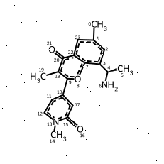 Cc1cc([C@@H](C)N)c2oc(-c3ccn(C)c(=O)c3)c(C)c(=O)c2c1